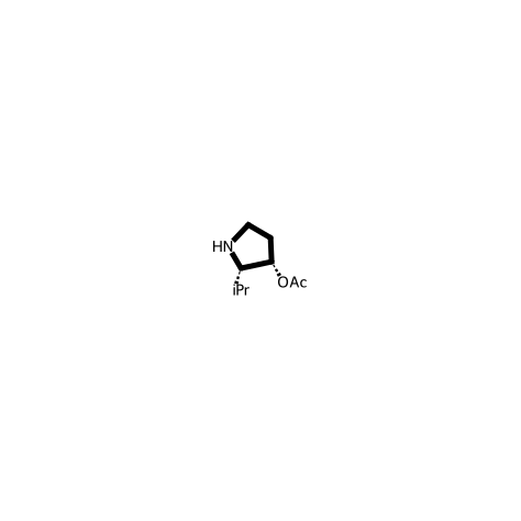 CC(=O)O[C@H]1CCN[C@H]1C(C)C